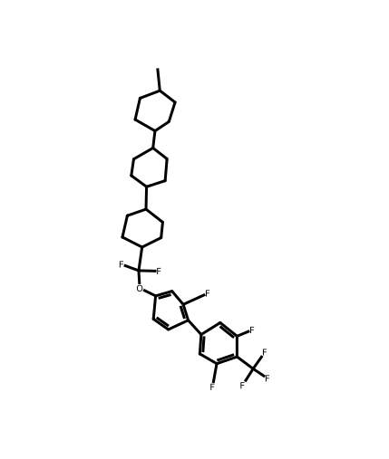 CC1CCC(C2CCC(C3CCC(C(F)(F)Oc4ccc(-c5cc(F)c(C(F)(F)F)c(F)c5)c(F)c4)CC3)CC2)CC1